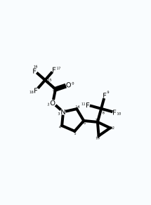 O=C(ON1CCC(C2(C(F)(F)F)CC2)C1)C(F)(F)F